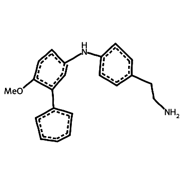 COc1ccc(Nc2ccc(CCN)cc2)cc1-c1ccccc1